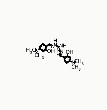 CN(C)c1ccc(C=NNC(=N)NN=Cc2ccc(N(C)C)cc2O)c(O)c1